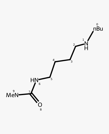 CCCCNCCCCNC(=O)NC